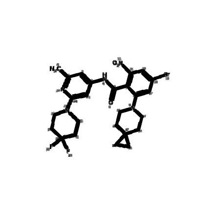 Cc1cc(NC(=O)c2c(N3CCC4(CC3)CC4)cc(Br)cc2[N+](=O)[O-])cc(N2CCC(F)(F)CC2)n1